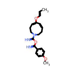 C/C=C/OC1=C/CCN(C(=N)OC(=N)c2ccc(OC)cc2)CC/C=C\1